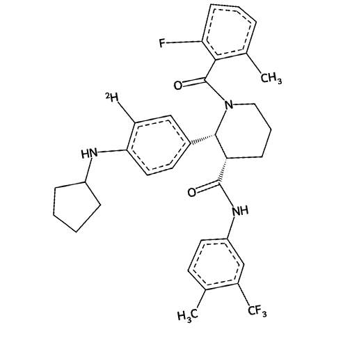 [2H]c1cc([C@H]2[C@@H](C(=O)Nc3ccc(C)c(C(F)(F)F)c3)CCCN2C(=O)c2c(C)cccc2F)ccc1NC1CCCC1